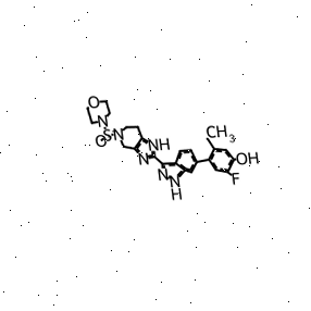 CCc1cc(O)c(F)cc1-c1ccc2c(-c3nc4c([nH]3)CCN([S+]([O-])N3CCOCC3)C4)n[nH]c2c1